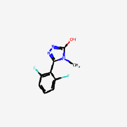 Cn1c(O)nnc1-c1c(F)cccc1F